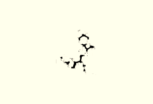 CCCCON=C(C(=O)NC1C(=O)N2CC(Cl)(C(=O)O)CS[C@H]12)c1csc(NC=O)n1